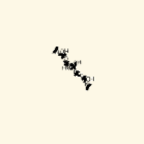 CC1CN1CC(O)C(C)(C)OCC(C)(C)OCC(CO)(CO)COC(C)(C)COC(C)(C)C(O)CN1CC1C